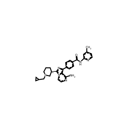 Cc1ccnc(NC(=O)c2ccc(-c3nc([C@@H]4CCCN(CC5CC5)C4)n4ccnc(N)c34)cc2)c1